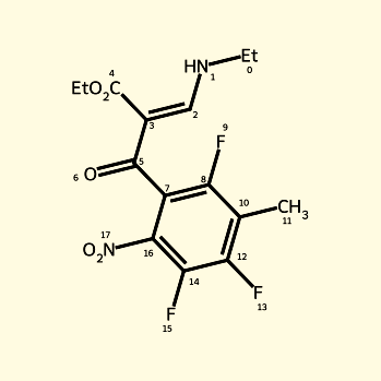 CCNC=C(C(=O)OCC)C(=O)c1c(F)c(C)c(F)c(F)c1[N+](=O)[O-]